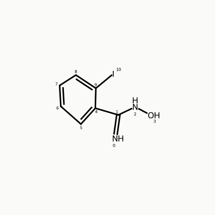 N=C(NO)c1ccccc1I